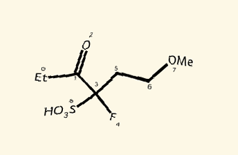 CCC(=O)C(F)(CCOC)S(=O)(=O)O